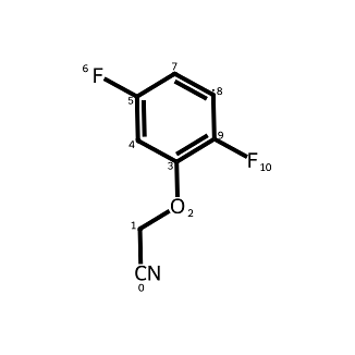 N#CCOc1cc(F)c[c]c1F